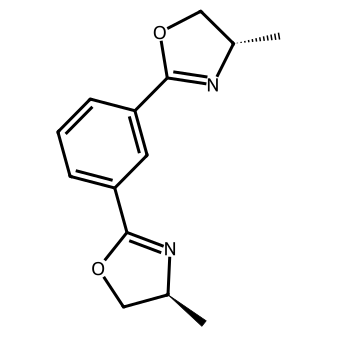 C[C@H]1COC(c2cccc(C3=N[C@@H](C)CO3)c2)=N1